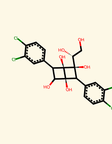 OC[C@@H](O)[C@]1(O)C(c2ccc(Cl)c(Cl)c2)[C@]2(O)C(O)C(c3ccc(Cl)c(Cl)c3)[C@@]21O